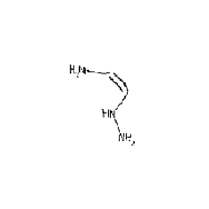 N/C=C\NN